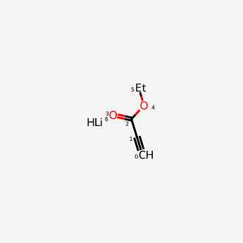 C#CC(=O)OCC.[LiH]